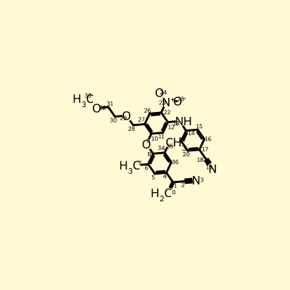 C=C(C#N)c1cc(C)c(Oc2cc(Nc3ccc(C#N)cc3)c([N+](=O)[O-])cc2COCCOC)c(C)c1